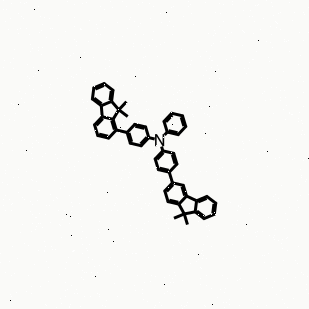 CC1(C)c2ccccc2-c2cc(-c3ccc(N(c4ccccc4)c4ccc(-c5cccc6c5C(C)(C)c5ccccc5-6)cc4)cc3)ccc21